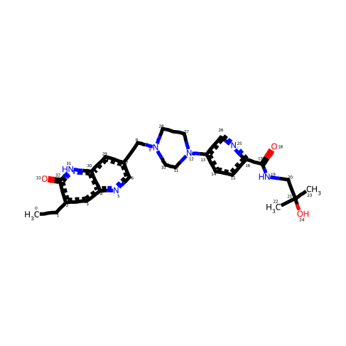 CCc1cc2ncc(CN3CCN(c4ccc(C(=O)NCC(C)(C)O)nc4)CC3)cc2[nH]c1=O